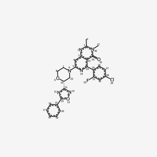 Cc1nc2cc(N3CCO[C@@H](c4noc(-c5ccccc5)n4)C3)nc(-c3ccc(Cl)cc3F)c2c(=O)n1C